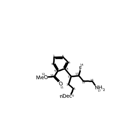 CCCCCCCCCCCCC(c1ccccc1C(=O)OC)C(F)CCN